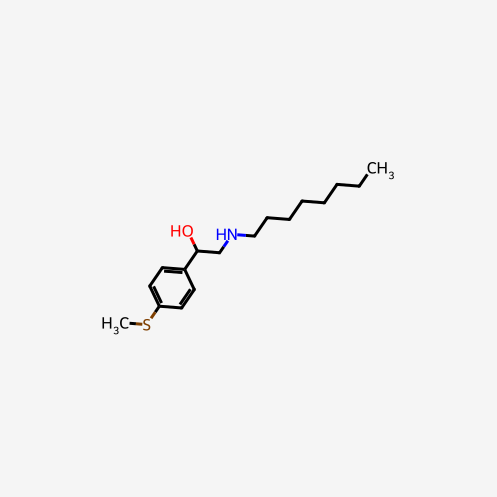 CCCCCCCCNCC(O)c1ccc(SC)cc1